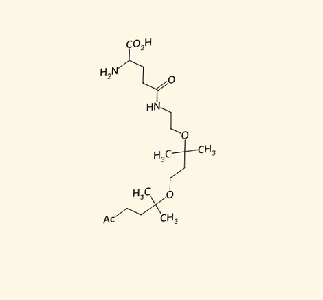 CC(=O)CCC(C)(C)OCCC(C)(C)OCCNC(=O)CCC(N)C(=O)O